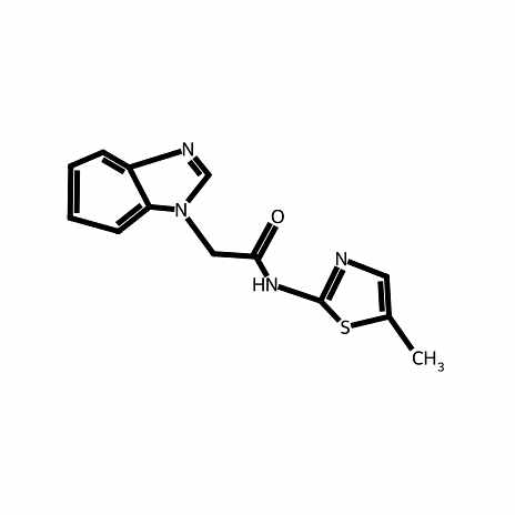 Cc1cnc(NC(=O)Cn2cnc3ccccc32)s1